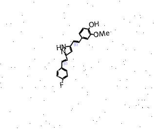 COc1cc(/C=C/c2cc(/C=C/c3ccc(F)cc3)n[nH]2)ccc1O